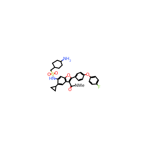 CNC(=O)c1c(-c2ccc(Oc3ccc(F)cc3)cc2)oc2cc(NS(=O)(=O)CC3CCC(N)CC3)c(C3CC3)cc12